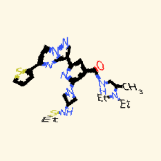 CCSNC1CN(c2cc(C(=O)NCC(C)N(CC)CC)cc(-c3cnn4ccc(-c5cccs5)nc34)n2)C1